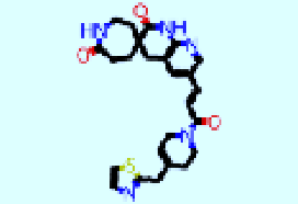 O=C1CCC2(CCN1)Cc1cc(C=CC(=O)N3CC=C(Cc4nccs4)CC3)cnc1NC2=O